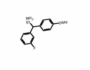 CCC(c1ccc(OC)cc1)c1cccc(F)c1.N